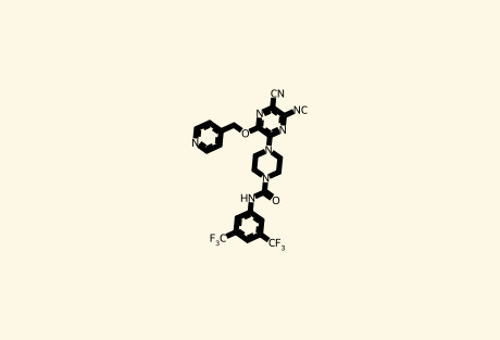 [C-]#[N+]c1nc(N2CCN(C(=O)Nc3cc(C(F)(F)F)cc(C(F)(F)F)c3)CC2)c(OCc2ccncc2)nc1C#N